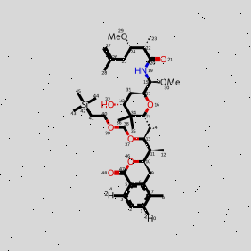 [2H]c1cc([2H])c2c(c1C)C[C@H]([C@H](C)[C@H](C[C@H]1O[C@H]([C@@H](NC(=O)[C@@H](C)[C@H](CC(=C)C)OC)OC)C[C@@H](O)C1(C)C)OCOCC[Si](C)(C)C)OC2=O